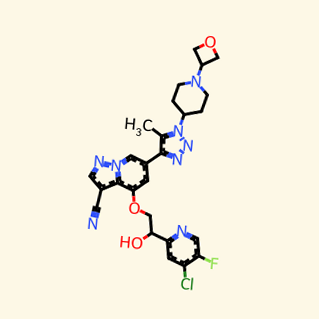 Cc1c(-c2cc(OCC(O)c3cc(Cl)c(F)cn3)c3c(C#N)cnn3c2)nnn1C1CCN(C2COC2)CC1